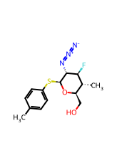 Cc1ccc(S[C@@H]2O[C@H](CO)[C@@H](C)[C@H](F)[C@H]2N=[N+]=[N-])cc1